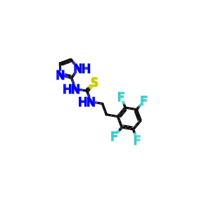 Fc1cc(F)c(F)c(CCNC(=S)Nc2ncc[nH]2)c1F